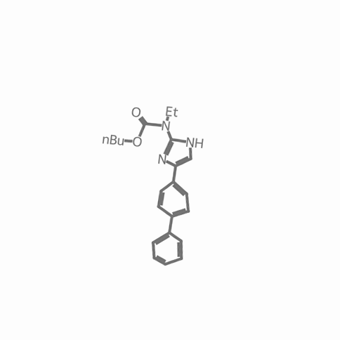 CCCCOC(=O)N(CC)c1nc(-c2ccc(-c3ccccc3)cc2)c[nH]1